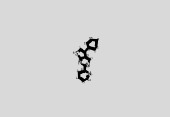 c1ccc(-c2csc3nc(-c4ccccn4)ncc23)cc1